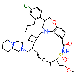 CCCc1cc(Cl)ccc1C1COc2ccc3cc2N(C1)CC1CCC1C(CN1CCN2CCCCC2C1)/C=C/CC(C)C(CCOC)[S+]([O-])NC3=O